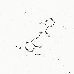 COc1cc(Cl)cc(C=NNC(=O)c2ccccc2O)c1O